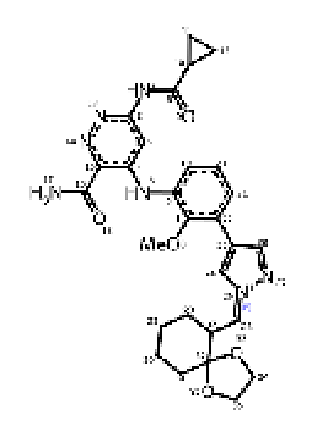 COc1c(Nc2cc(NC(=O)C3CC3)nnc2C(N)=O)cccc1C1=C/[N+](=C\C2CCCCC23OCCO3)N=C1